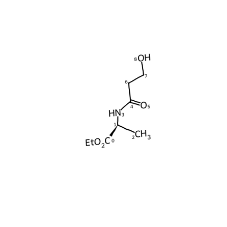 CCOC(=O)[C@H](C)NC(=O)CCO